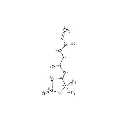 C=CC(=O)OCC(=O)OC1OC(=O)CC1(C)C